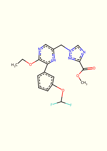 CCOc1ncc(Cn2cnc(C(=O)OC)n2)nc1-c1cccc(OC(F)F)c1